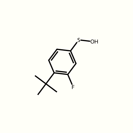 CC(C)(C)c1ccc(SO)cc1F